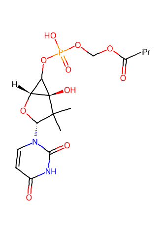 CC(C)C(=O)OCOP(=O)(O)OC1[C@H]2O[C@@H](n3ccc(=O)[nH]c3=O)C(C)(C)[C@@]12O